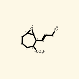 O=C(O)C1CCCC2OC2C1C=CCBr